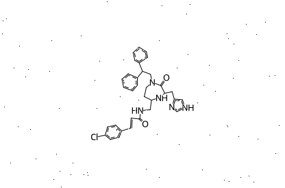 O=C(/C=C/c1ccc(Cl)cc1)NCC1CCN(CC(c2ccccc2)c2ccccc2)C(=O)C(Cc2c[nH]cn2)N1